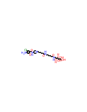 COc1cc(N)c(Cl)cc1C(=O)NC1CCN(CCCCCC(=O)NCCCCCC(=O)NC[C@H](O)[C@@H](O)[C@H](O)[C@H](O)CO)CC1